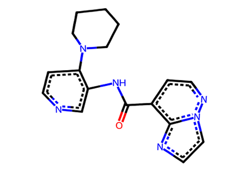 O=C(Nc1cnccc1N1CCCCC1)c1ccnn2ccnc12